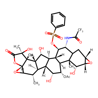 CC(=O)O[C@H]1[C@H]2[C@@H]([C@@H](OS(=O)(=O)c3ccccc3)[C@H](NC(=O)C(F)(F)F)C3C[C@@H]4O[C@@H]4[C@H](O)[C@@]32C)[C@@H]2[C@@H](O)[C@@H]3[C@H]([C@H](C)[C@H]4O[C@]45OC(=O)[C@@](C)(O)[C@]35C)[C@@]2(C(C)=O)[C@H]1O